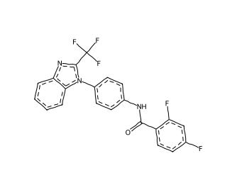 O=C(Nc1ccc(-n2c(C(F)(F)F)nc3ccccc32)cc1)c1ccc(F)cc1F